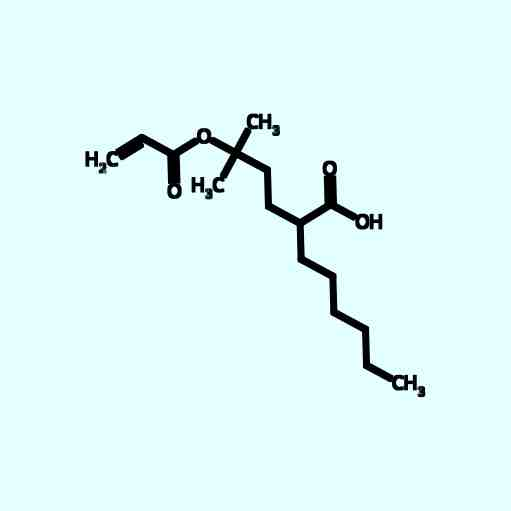 C=CC(=O)OC(C)(C)CCC(CCCCCC)C(=O)O